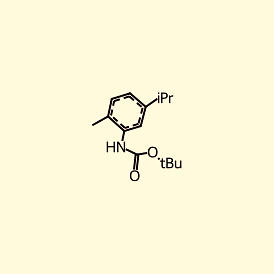 Cc1ccc(C(C)C)cc1NC(=O)OC(C)(C)C